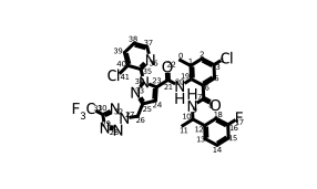 Cc1cc(Cl)cc(C(=O)NC(C)c2cccc(F)c2)c1NC(=O)c1cc(Cn2nnc(C(F)(F)F)n2)nn1-c1ncccc1Cl